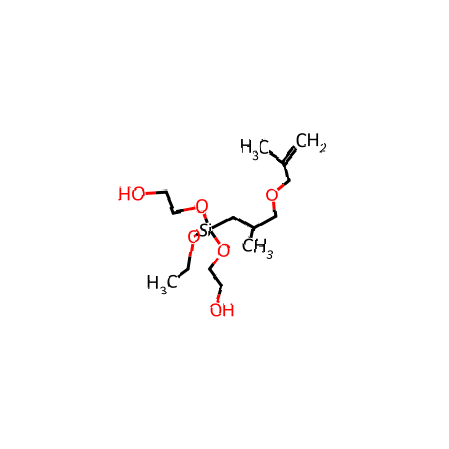 C=C(C)COCC(C)C[Si](OCC)(OCCO)OCCO